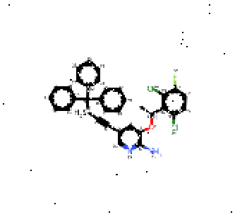 C[C@H](Oc1cc(C#C[SiH2]C(c2ccccc2)(c2ccccc2)c2ccccc2)cnc1N)c1c(Cl)ccc(F)c1Cl